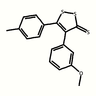 COc1cccc(-c2c(-c3ccc(C)cc3)ssc2=S)c1